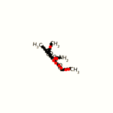 CCCCCC/C=C\COC(=O)CCCCCN(CCCC(=O)OC(CCCCCCC)CCCCCCC)C(=O)SCCN